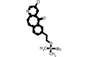 CC(C)(C)[Si](C)(C)OCCc1ccc2ccc3ncc(Cl)cc3c(=O)c2c1